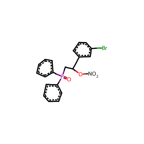 O=[N+]([O-])OC(CP(=O)(c1ccccc1)c1ccccc1)c1cccc(Br)c1